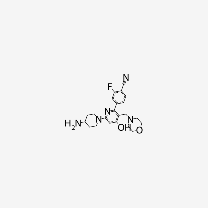 N#Cc1ccc(-c2nc(N3CCC(N)CC3)cc(O)c2CN2CCOCC2)cc1F